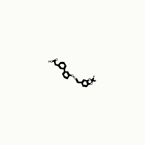 O=C(O)Cc1cccc(-c2cccc(OCC=Cc3ccc4c(c3)OC(F)(F)O4)c2)c1